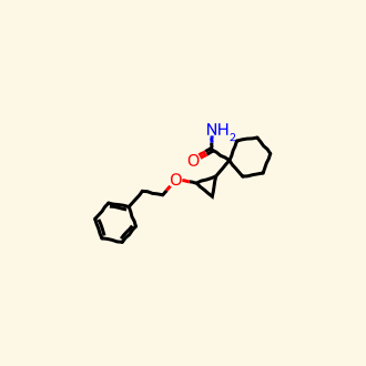 NC(=O)C1(C2CC2OCCc2ccccc2)CCCCC1